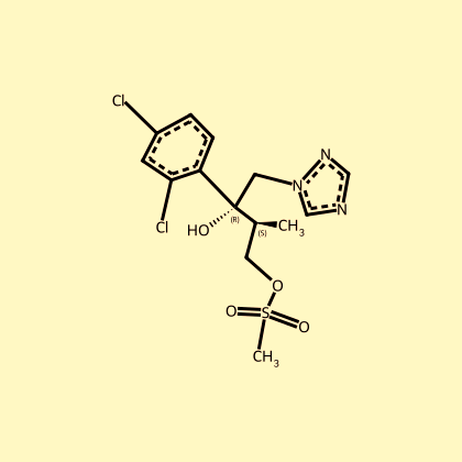 C[C@@H](COS(C)(=O)=O)[C@](O)(Cn1cncn1)c1ccc(Cl)cc1Cl